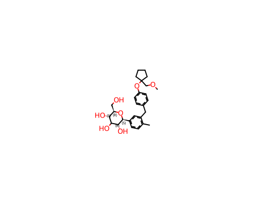 COCC1(Oc2ccc(Cc3cc([C@@H]4O[C@H](CO)[C@@H](O)C(O)[C@H]4O)ccc3C)cc2)CCCC1